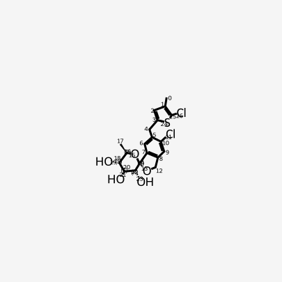 Cc1cc(Cc2cc3c(cc2Cl)CO[C@]32O[C@H](C)[C@@H](O)[C@H](O)[C@H]2O)sc1Cl